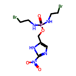 O=[N+]([O-])c1ncc(COP(=O)(NCCBr)NCCBr)[nH]1